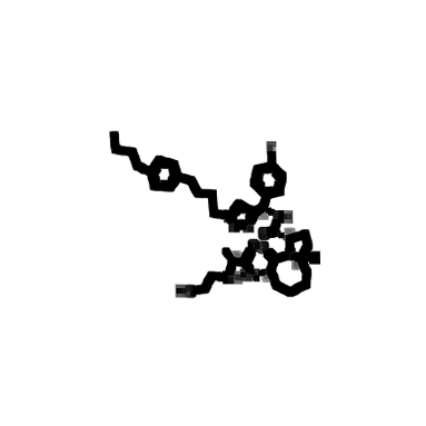 CCCCc1ccc(CCCCn2cc([C@@H](NC(=O)[C@@H]3CC[C@@H]4CCCC[C@H](NC(=O)[C@H](C)NCCO)C(=O)N43)c3ccc(F)cc3)nn2)cc1